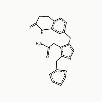 NC(=O)Cc1c(Cc2ccccc2)ncn1Cc1ccc2c(c1)NC(=O)CC2